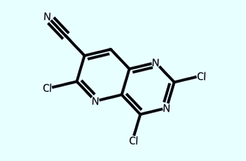 N#Cc1cc2nc(Cl)nc(Cl)c2nc1Cl